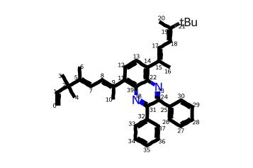 C=CC(C)(C)/C(C)=C/C=C(\C)c1ccc(/C(C)=C/C=C(\C)C(C)(C)C)c2nc(-c3ccccc3)c(-c3ccccc3)nc12